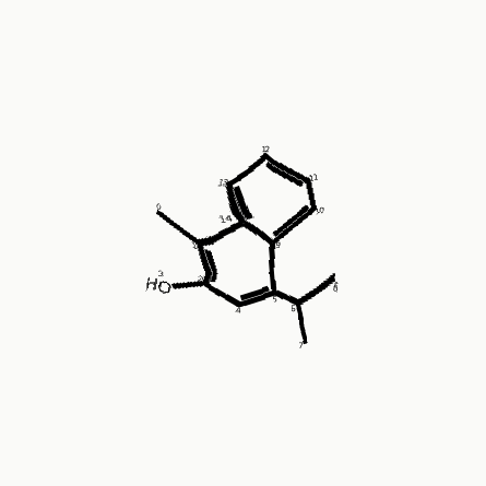 Cc1c(O)cc(C(C)C)c2ccccc12